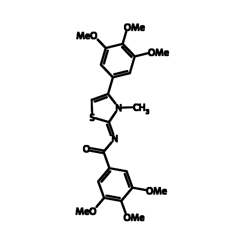 COc1cc(C(=O)N=c2scc(-c3cc(OC)c(OC)c(OC)c3)n2C)cc(OC)c1OC